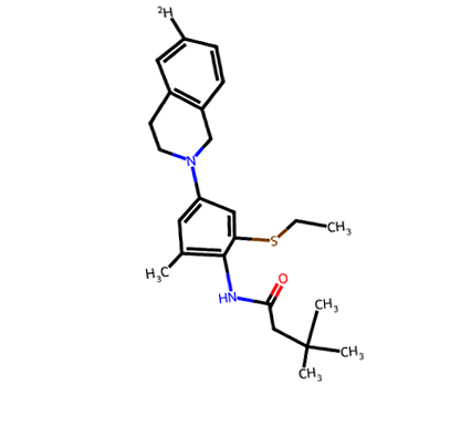 [2H]c1ccc2c(c1)CCN(c1cc(C)c(NC(=O)CC(C)(C)C)c(SCC)c1)C2